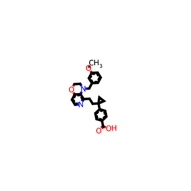 COc1cccc(CN2CCOc3ccnc(CCC4(c5ccc(C(=O)O)cc5)CC4)c32)c1